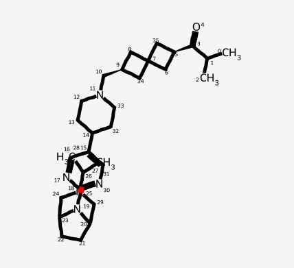 CC(C)C(=O)[C@H]1CC2(C[C@H](CN3CCC(c4cnc(N5C6CCC5CN(C(C)C)C6)nc4)CC3)C2)C1